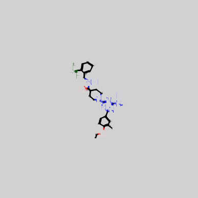 CCOc1ccc(-c2nc(NC)nc(N3CCC(C(=O)NCc4ccccc4C(F)(F)F)CC3)n2)cc1C